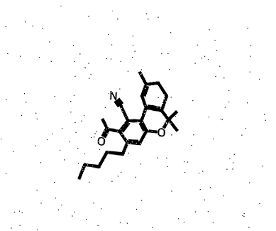 CCCCCc1cc2c(c(C#N)c1C(C)=O)C1=C(CCC(C)=C1)C(C)(C)O2